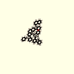 c1ccc(-n2c3ccccc3c3c2cc2ccc4cc5c(c6ccccc6n5-c5cccc6ccccc56)c5c4c2c3n5-c2nc(-c3cccc4c3sc3ccccc34)nc3ccccc23)cc1